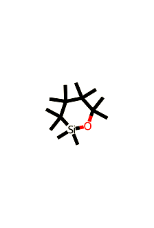 CC1(C)O[Si](C)(C)C(C)(C)C(C)(C)C1(C)C